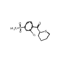 CS(=O)(=O)c1ccc(C(=O)C2CCCCS2)c(Cl)c1